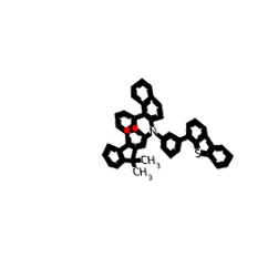 CC1(C)c2ccccc2-c2ccc(N(c3cccc(-c4cccc5c4sc4ccccc45)c3)c3ccc4ccccc4c3-c3ccccc3)cc21